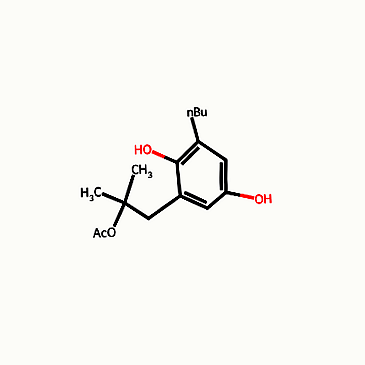 CCCCc1cc(O)cc(CC(C)(C)OC(C)=O)c1O